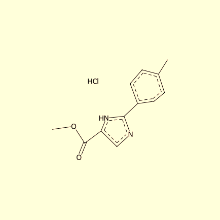 COC(=O)c1cnc(-c2ccc(C)cc2)[nH]1.Cl